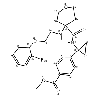 COC(=O)c1ccc(C2(NC(=O)C3(NCCOc4ccccc4F)CCOCC3)CC2)cc1